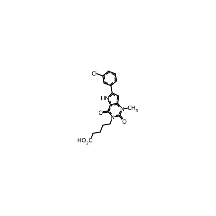 Cn1c(=O)n(CCCCC(=O)O)c(=O)c2[nH]c(-c3cccc(Cl)c3)cc21